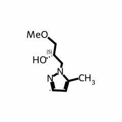 COC[C@@H](O)Cn1n[c]cc1C